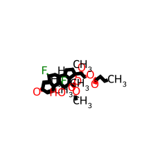 CCCC(=O)OCC(=O)[C@@]1(OC(=O)OCC)[C@H](C)C[C@H]2[C@@H]3C[C@H](F)C4=CC(=O)C=C[C@]4(C)[C@@]3(F)[C@@H](O)C[C@@]21C